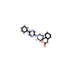 O=C1Cc2ccccc2C2(CCN(c3cnc(-c4ccccc4)cn3)CC2)O1